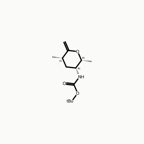 C=C1O[C@H](C)[C@H](NC(=O)OC(C)(C)C)C[C@@H]1C